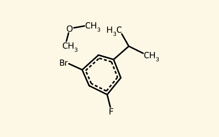 CC(C)c1cc(F)cc(Br)c1.COC